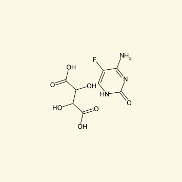 Nc1nc(=O)[nH]cc1F.O=C(O)C(O)C(O)C(=O)O